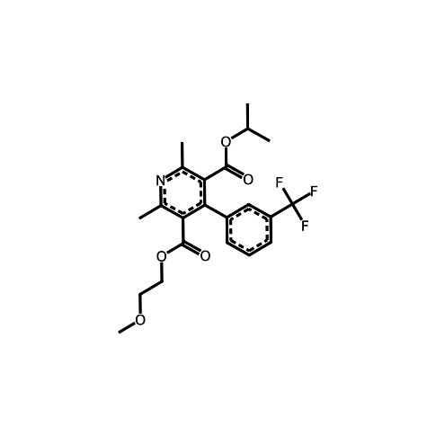 COCCOC(=O)c1c(C)nc(C)c(C(=O)OC(C)C)c1-c1cccc(C(F)(F)F)c1